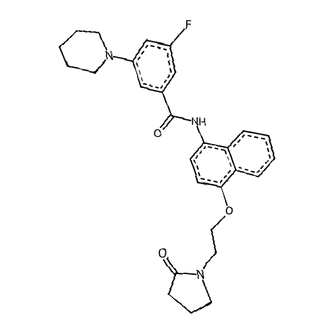 O=C(Nc1ccc(OCCN2CCCC2=O)c2ccccc12)c1cc(F)cc(N2CCCCC2)c1